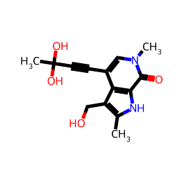 Cc1[nH]c2c(=O)n(C)cc(C#CC(C)(O)O)c2c1CO